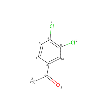 [CH2-][CH+]C(=O)c1ccc(Cl)c(Cl)c1